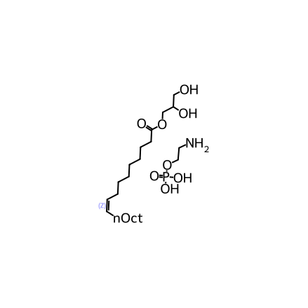 CCCCCCCC/C=C\CCCCCCCC(=O)OCC(O)CO.NCCOP(=O)(O)O